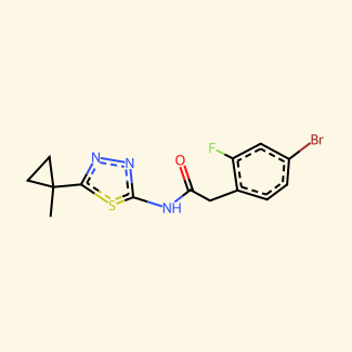 CC1(c2nnc(NC(=O)Cc3ccc(Br)cc3F)s2)CC1